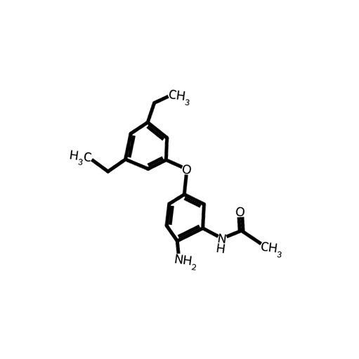 CCc1cc(CC)cc(Oc2ccc(N)c(NC(C)=O)c2)c1